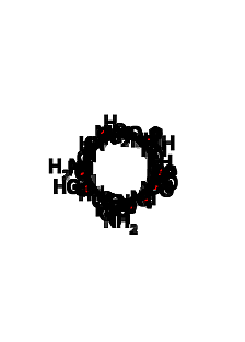 CCCC[C@H]1C(=O)N(C)[C@@H](CCCC)C(=O)N[C@@H](CC(C)C)C(=O)N[C@H](C(=O)NCC(N)=O)CSCC(=O)N[C@@H](Cc2ccc(O)cc2)C(=O)N(C)[C@@H](C)C(=O)N[C@@H](CC(N)=O)C(=O)N2CCCC2C(=O)N[C@@H](CN)C(=O)NCC(=O)N2CCCC2C(=O)N[C@@H](Cc2c[nH]c3ccccc23)C(=O)N[C@@H](C)C(=O)N[C@@H](Cc2cn(CC(=O)OC)c3ccccc23)C(=O)N1C